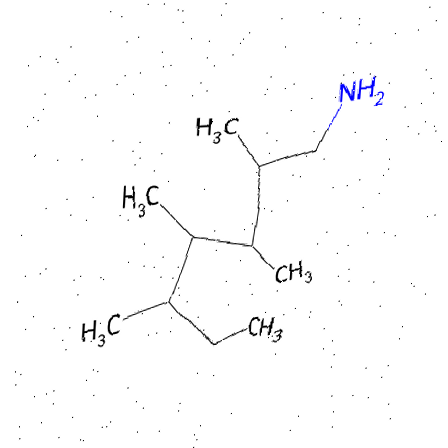 CCC(C)C(C)C(C)C(C)CN